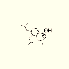 CC(C)Cc1ccc(S(=O)O)c(CC(C)C)c1CC(C)C